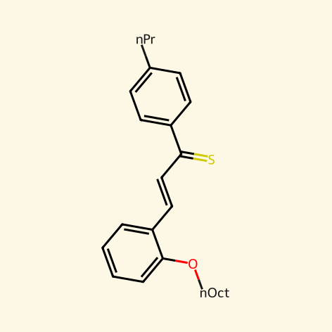 CCCCCCCCOc1ccccc1C=CC(=S)c1ccc(CCC)cc1